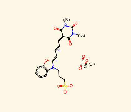 CCCCN1C(=O)C(=C/C=C/C=C2\Oc3ccccc3N2CCCS(=O)(=O)[O-])C(=O)N(CCCC)C1=O.[Na+].[O]=[Ti]=[O].[O]=[Zn]